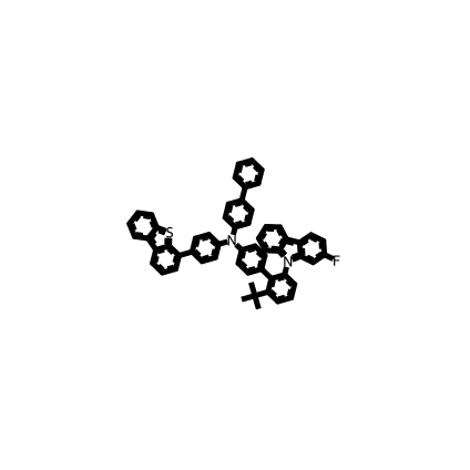 CC(C)(C)c1cccc(-n2c3ccccc3c3ccc(F)cc32)c1-c1ccc(N(c2ccc(-c3ccccc3)cc2)c2ccc(-c3cccc4c3sc3ccccc34)cc2)cc1